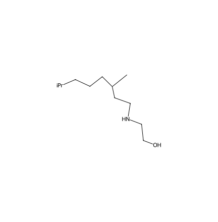 CC(C)CCCC(C)CCNCCO